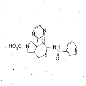 O=C(NC1NC2(c3cnccn3)CN(C(=O)O)CC2CS1)c1ccccc1